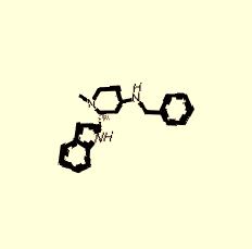 CN1CCC(NCc2ccccc2)C[C@@H]1c1cc2ccccc2[nH]1